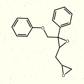 c1ccc(OCC2(c3ccccc3)OC2CC2CO2)cc1